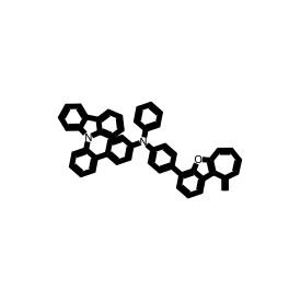 C=C1C=CC=Cc2oc3c(-c4ccc(N(c5ccccc5)c5ccc(-c6ccccc6-n6c7ccccc7c7ccccc76)cc5)cc4)cccc3c21